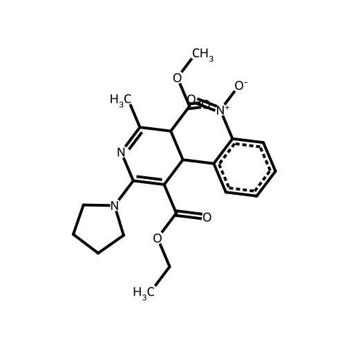 CCOC(=O)C1=C(N2CCCC2)N=C(C)C(C(=O)OC)C1c1ccccc1[N+](=O)[O-]